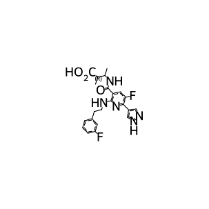 CC(NC(=O)c1cc(F)c(-c2cn[nH]c2)nc1NCCc1cccc(F)c1)[C@@H](C)C(=O)O